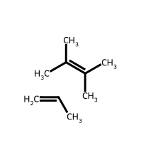 C=CC.CC(C)=C(C)C